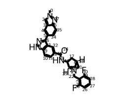 Cn1cc2cc(-c3n[nH]c4ccc(C(=O)NC5C[C@@H]6C[C@H]5N(Cc5c(F)cccc5F)C6)cc34)ccc2n1